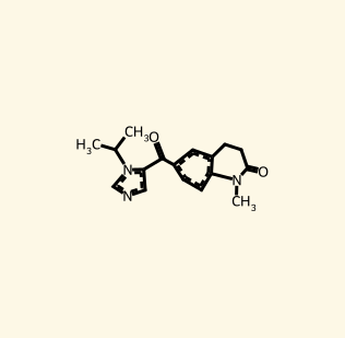 CC(C)n1cncc1C(=O)c1ccc2c(c1)CCC(=O)N2C